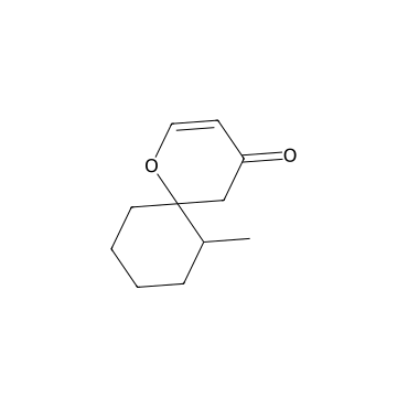 CC1CCCCC12CC(=O)C=CO2